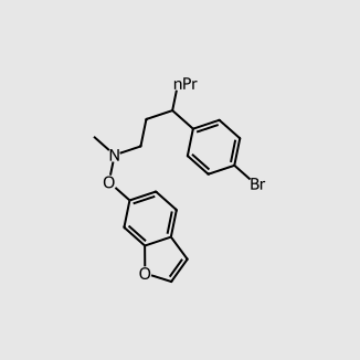 CCCC(CCN(C)Oc1ccc2ccoc2c1)c1ccc(Br)cc1